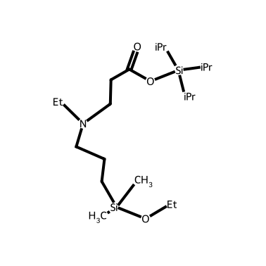 CCO[Si](C)(C)CCCN(CC)CCC(=O)O[Si](C(C)C)(C(C)C)C(C)C